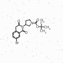 CC(C)(C)OC(=O)N1CCC(N2C(=O)Cc3ccc(Br)cc3C2=O)C1